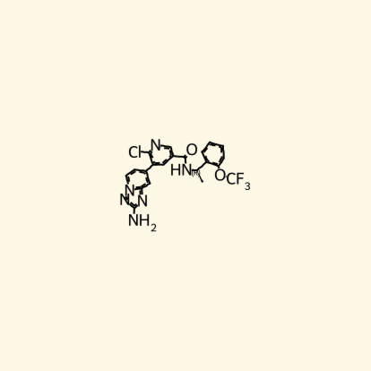 C[C@@H](NC(=O)c1cnc(Cl)c(-c2ccn3nc(N)nc3c2)c1)c1ccccc1OC(F)(F)F